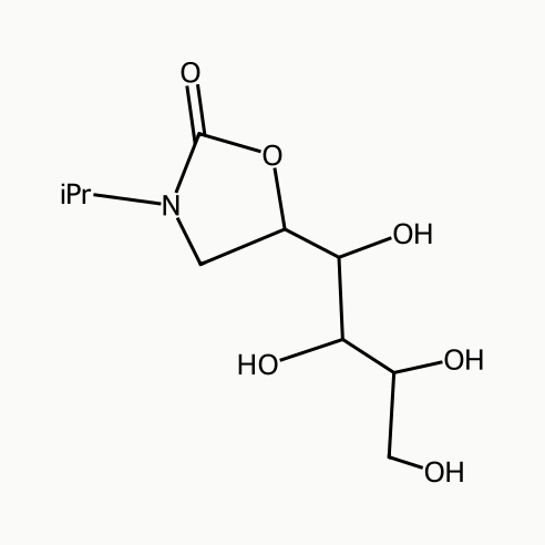 CC(C)N1CC(C(O)C(O)C(O)CO)OC1=O